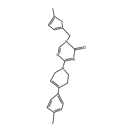 Cc1ccc(Cn2cnc(N3CC=C(c4ccc(F)cc4)CC3)nc2=O)s1